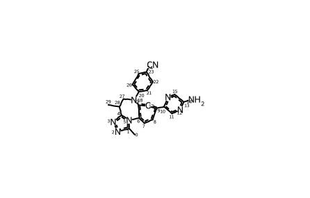 Cc1nnc2n1-c1ccc(-c3cnc(N)cn3)cc1N(c1ccc(C#N)cc1)CC2C